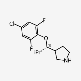 CC(C)[C@H](Oc1c(F)cc(Cl)cc1F)C1CCNC1